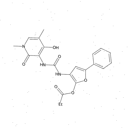 CCC(=O)Oc1oc(-c2ccccc2)cc1NC(=O)Nc1c(O)c(C)cn(C)c1=O